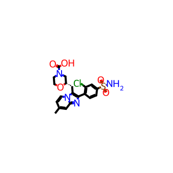 Cc1ccn2c(C[C@H]3CN(C(=O)O)CCO3)c(-c3ccc(S(N)(=O)=O)cc3Cl)nc2c1